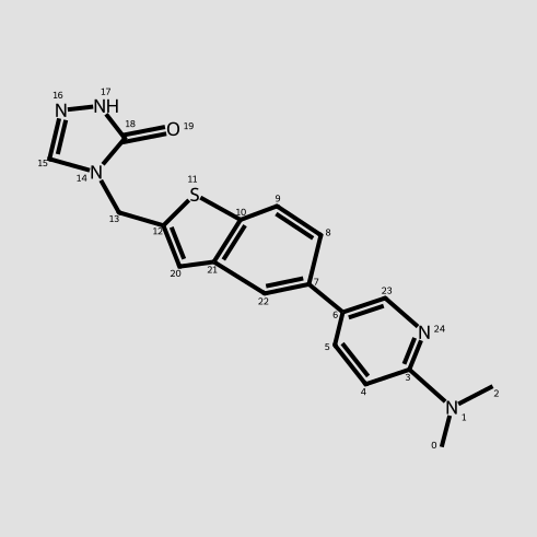 CN(C)c1ccc(-c2ccc3sc(Cn4cn[nH]c4=O)cc3c2)cn1